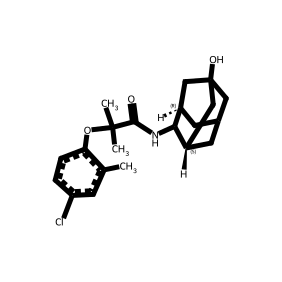 Cc1cc(Cl)ccc1OC(C)(C)C(=O)NC1[C@@H]2CC3C[C@H]1CC(O)(C3)C2